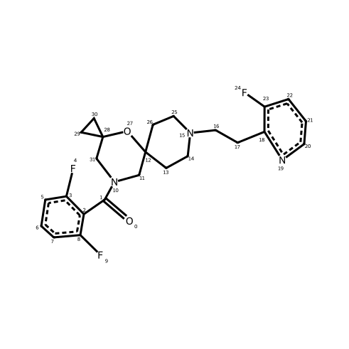 O=C(c1c(F)cccc1F)N1CC2(CCN(CCc3ncccc3F)CC2)OC2(CC2)C1